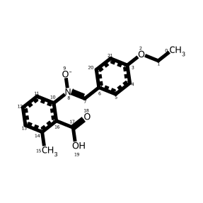 CCOc1ccc(C=[N+]([O-])c2cccc(C)c2C(=O)O)cc1